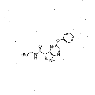 CC(C)(C)CNC(=O)c1c[nH]c2ncc(Oc3ccccc3)nc12